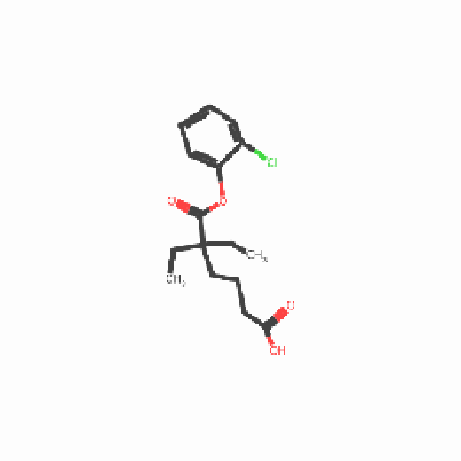 CCC(CC)(CCCC(=O)O)C(=O)Oc1ccccc1Cl